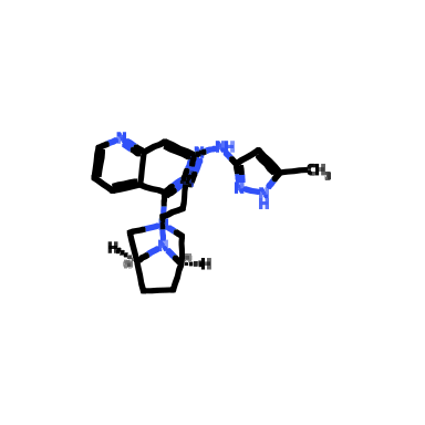 Cc1cc(Nc2cc3ncccc3c(N3C[C@H]4CC[C@@H](C3)N4CCC#N)n2)n[nH]1